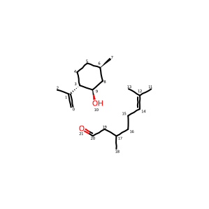 C=C(C)[C@@H]1CC[C@@H](C)C[C@H]1O.CC(C)=CCCC(C)CC=O